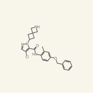 Cc1cc(OCc2ccccc2)ccc1NC(=O)c1c(Cl)cnn1C1CC2(CNC2)C1